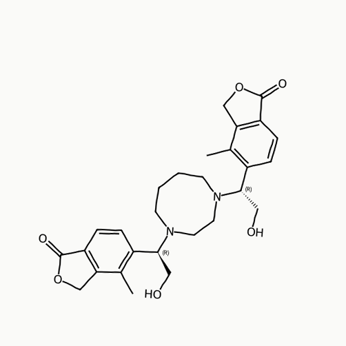 Cc1c([C@H](CO)N2CCCCN([C@@H](CO)c3ccc4c(c3C)COC4=O)CC2)ccc2c1COC2=O